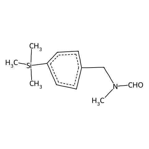 CN(C=O)Cc1ccc([Si](C)(C)C)cc1